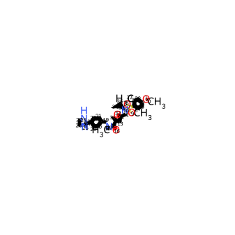 COc1cc(C)c(S(=O)(=O)N(Cc2cc(C(=O)N(C)Cc3ccc(C4=NCCN4)cc3)co2)C2CC2)c(C)c1